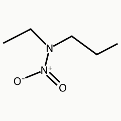 CCCN(CC)[N+](=O)[O-]